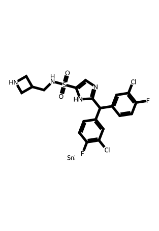 O=S(=O)(NCC1CNC1)c1cnc(C(c2ccc(F)c(Cl)c2)c2ccc(F)c(Cl)c2)[nH]1.[Sn]